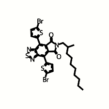 CCCCCCCCC(C)CN1C(=O)c2c(c(-c3ccc(Br)s3)c3nsnc3c2-c2ccc(Br)s2)C1=O